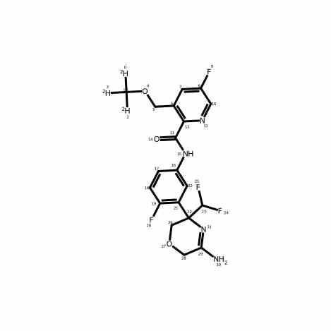 [2H]C([2H])([2H])OCc1cc(F)cnc1C(=O)Nc1ccc(F)c(C2(C(F)F)COCC(N)=N2)c1